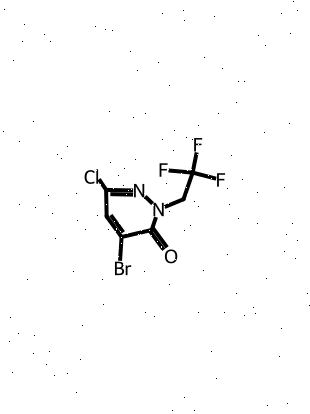 O=c1c(Br)cc(Cl)nn1CC(F)(F)F